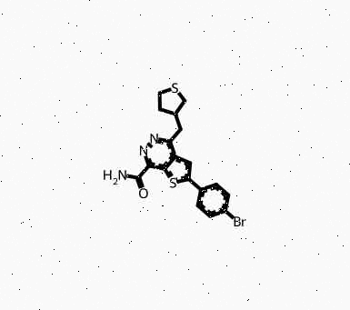 NC(=O)c1nnc(CC2CCSC2)c2cc(-c3ccc(Br)cc3)sc12